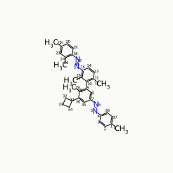 Cc1ccc(N=Nc2cc(-c3c(C)ccc(N=Nc4ccc(C)cc4C)c3C)c(C)c(C3CCC3)c2)cc1